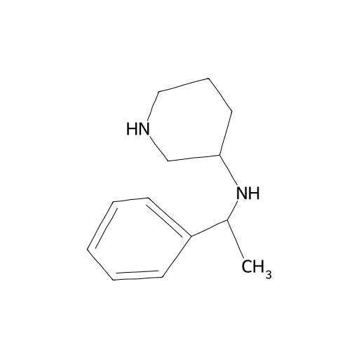 CC(NC1CCCNC1)c1ccccc1